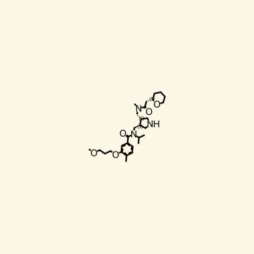 COCCCOc1cc(C(=O)N(C[C@@H]2CNC[C@H]2CN(C)C(=O)C[C@@H]2CCCCO2)C(C)C)ccc1C